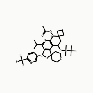 CC(=O)O[C@@H]1c2nc(C(C)C)c3c(c2C(O[Si](C)(C)C(C)(C)C)CC12CCC2)C1(CCOCC1)O[C@@H]3c1ccc(C(F)(F)F)nc1